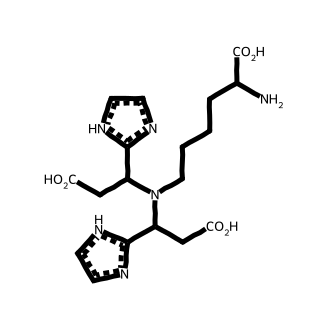 NC(CCCCN(C(CC(=O)O)c1ncc[nH]1)C(CC(=O)O)c1ncc[nH]1)C(=O)O